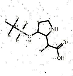 CC(C(=O)O)C1NCCC1O[Si](C)(C)C(C)(C)C